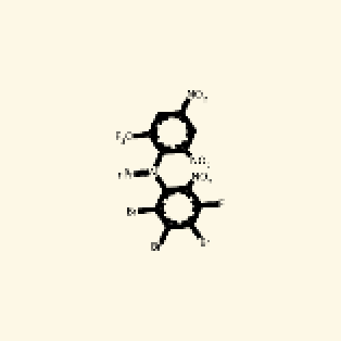 CCCN(c1c([N+](=O)[O-])cc([N+](=O)[O-])cc1C(F)(F)F)c1c(Br)c(Br)c(Br)c(F)c1[N+](=O)[O-]